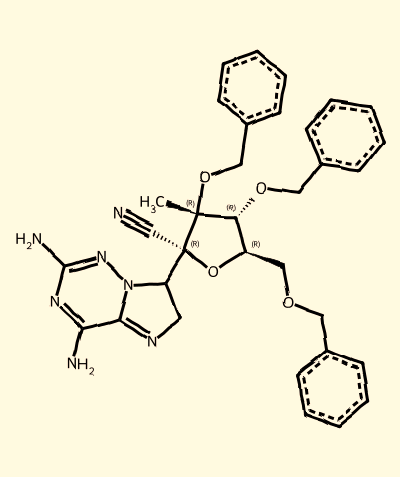 C[C@@]1(OCc2ccccc2)[C@H](OCc2ccccc2)[C@@H](COCc2ccccc2)O[C@@]1(C#N)C1CN=C2C(N)=NC(N)=NN21